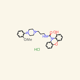 COc1ccccc1N1CCN(CCCNC(=O)N2c3ccccc3Oc3cccc(O)c32)CC1.Cl